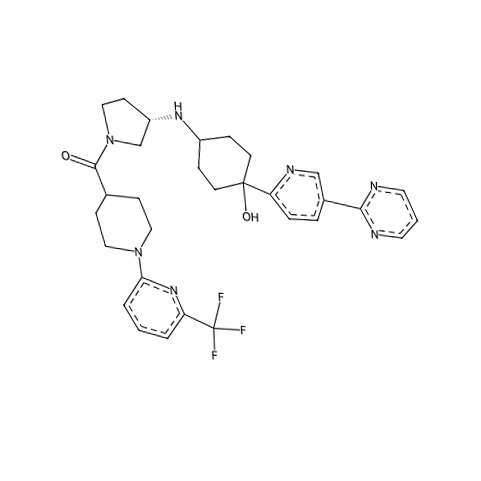 O=C(C1CCN(c2cccc(C(F)(F)F)n2)CC1)N1CC[C@H](NC2CCC(O)(c3ccc(-c4ncccn4)cn3)CC2)C1